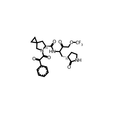 O=C(C(=O)N1CC2(CC2)C[C@H]1C(=O)NC(C[C@@H]1CCNC1=O)C(=O)COC(F)(F)F)c1ccccc1